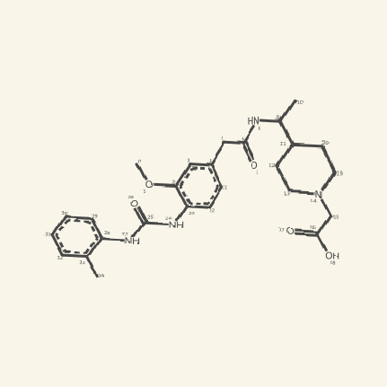 COc1cc(CC(=O)NC(C)C2CCN(CC(=O)O)CC2)ccc1NC(=O)Nc1ccccc1C